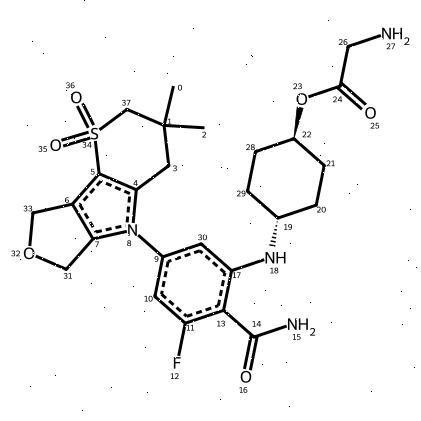 CC1(C)Cc2c(c3c(n2-c2cc(F)c(C(N)=O)c(N[C@H]4CC[C@H](OC(=O)CN)CC4)c2)COC3)S(=O)(=O)C1